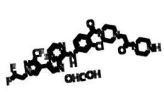 O=C(CN1CCN(C(=O)c2ccc(Nc3nccn4c(-c5cn(CC(F)F)nc5C(F)(F)F)cnc34)cc2Cl)CC1)N1CCNCC1.O=CO